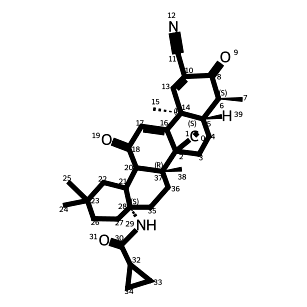 CCC12CC[C@H]3[C@H](C)C(=O)C(C#N)=C[C@]3(C)C1=CC(=O)C1C3CC(C)(C)CC[C@]3(NC(=O)C3CC3)CC[C@]12C